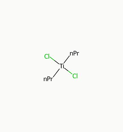 CC[CH2][Ti]([Cl])([Cl])[CH2]CC